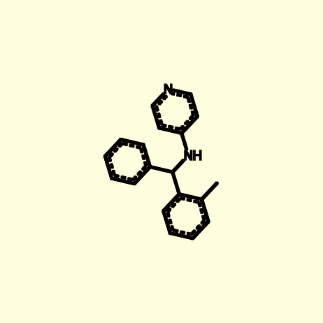 Cc1ccccc1C(Nc1ccncc1)c1ccccc1